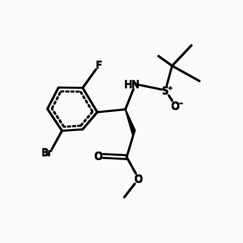 COC(=O)C[C@H](N[S+]([O-])C(C)(C)C)c1cc(Br)ccc1F